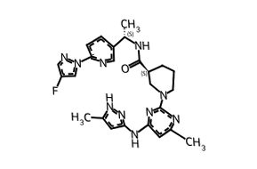 Cc1cc(Nc2cc(C)[nH]n2)nc(N2CCC[C@H](C(=O)N[C@@H](C)c3ccc(-n4cc(F)cn4)nc3)C2)n1